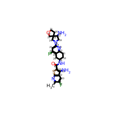 Cc1nc2sc(C(=O)NC3CCc4nc(N5CC(N)C6(CCOC6)C5)cc(F)c4C3)c(N)c2cc1F